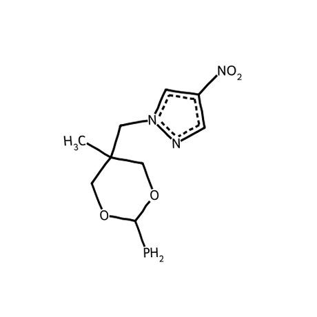 CC1(Cn2cc([N+](=O)[O-])cn2)COC(P)OC1